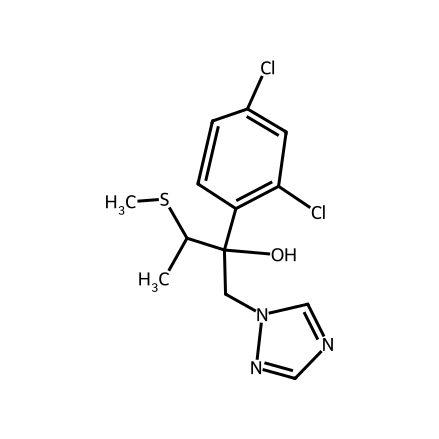 CSC(C)C(O)(Cn1cncn1)c1ccc(Cl)cc1Cl